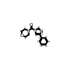 O=C(N1CCOCC1)n1cnc(-c2ccccc2)c1